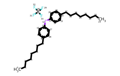 CCCCCCCCc1ccc([I+]c2ccc(CCCCCCCC)cc2)cc1.F[B-](F)(F)F